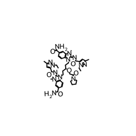 CCn1nc(C)cc1C(=O)N=c1n(C)c2cc(C(N)=O)ccc2n1CCC(CCn1c(=NC(=O)c2cc(C)nn2CC)n(C)c2cc(C(N)=O)ccc21)OCC(=O)N1CCCC1